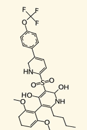 CCCCC1=C(C2=C(OC)CCC=C2OC)C(O)=C(S(=O)(=O)C2=CC=C(c3ccc(OC(F)(F)F)cc3)CN2)C(O)N1